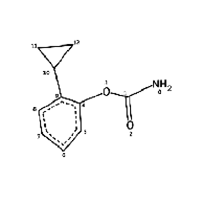 NC(=O)Oc1ccccc1C1CC1